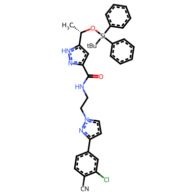 C[C@H](O[Si](c1ccccc1)(c1ccccc1)C(C)(C)C)c1cc(C(=O)NCCn2ccc(-c3ccc(C#N)c(Cl)c3)n2)n[nH]1